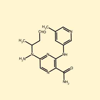 Cc1cncc(Nc2nc(N(N)C(C)CC=O)cnc2C(N)=O)c1